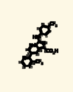 O=C(O)c1nc(Nc2ccc(C(F)(F)F)cc2)n2ncc(-c3ncccc3C(F)(F)F)cc12